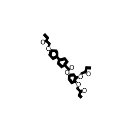 C=CC(=O)COc1ccc(-c2ccc(C(=O)Oc3ccc(OCC(=O)C=C)c(OCC(=O)C=C)c3)cc2)cc1